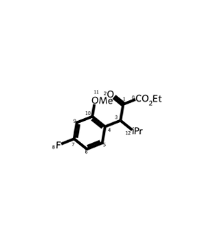 CCOC(=O)C(=O)C(c1ccc(F)cc1OC)C(C)C